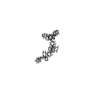 C[C@H]1COCCN1c1nc(-c2ccc(NC(=O)Nc3ccc(C(=O)NCCN4CCCC4)cc3)cc2)nc(N2CCOCC2)n1